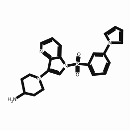 NC1CCN(c2cn(S(=O)(=O)c3cccc(-n4cccc4)c3)c3cccnc23)CC1